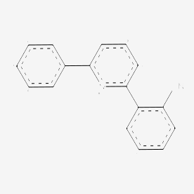 N#Cc1ccccc1-c1cccc(-c2ccccc2)n1